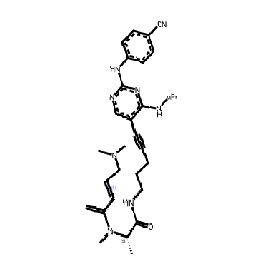 C=C(/C=C/CN(C)C)N(C)[C@@H](C)C(=O)NCCCC#Cc1cnc(Nc2ccc(C#N)cc2)nc1NCCC